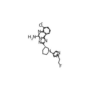 COc1cccc2c1nc(N)n1nc([C@@H]3CCCN(c4cnn(CCF)c4)C3)nc21